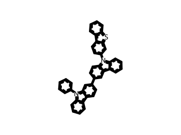 c1ccc(-n2c3ccccc3c3ccc(-c4ccc5c(c4)c4ccccc4n5-c4ccc5c(c4)sc4ccccc45)cc32)cc1